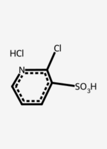 Cl.O=S(=O)(O)c1cccnc1Cl